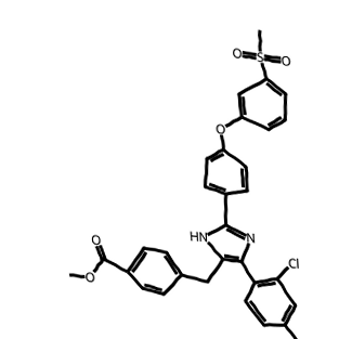 COC(=O)c1ccc(Cc2[nH]c(-c3ccc(Oc4cccc(S(C)(=O)=O)c4)cc3)nc2-c2ccc(Cl)cc2Cl)cc1